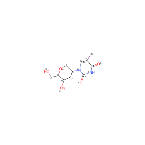 O=c1[nH]c(=O)n(C2COC(CO)C(O)C2)cc1I